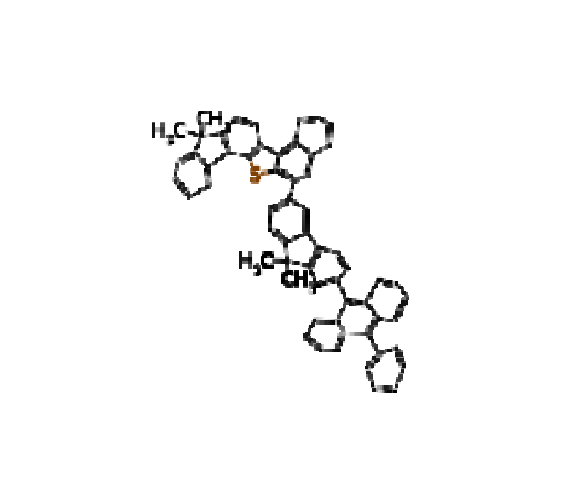 CC1(C)c2ccc(-c3cc4ccccc4c4c3sc3c5c(ccc34)C(C)(C)c3ccccc3-5)cc2-c2ccc(-c3c4ccccc4c(-c4ccccc4)c4ccccc34)cc21